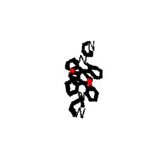 c1cncc(N2c3ccccc3C3(c4ccccc42)c2ccccc2C2(c4ccccc4N(c4cccnc4)c4ccccc42)c2ccccc23)c1